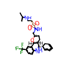 CC(C)NCCS(=O)(=O)NC[C@H]1CC[C@@H]2[C@H](O1)c1cc(C(F)(F)F)ccc1N[C@H]2C1C=CC=CC1